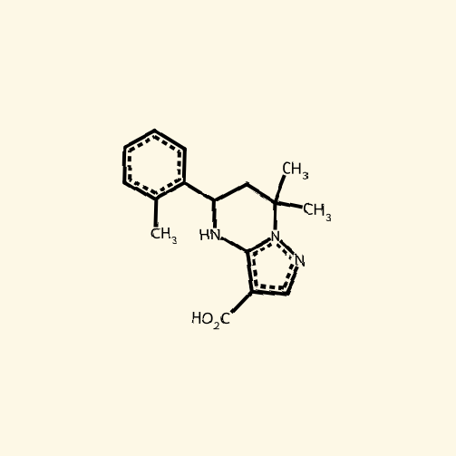 Cc1ccccc1C1CC(C)(C)n2ncc(C(=O)O)c2N1